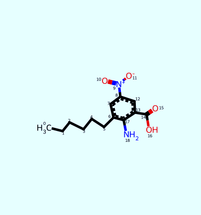 CCCCCCc1cc([N+](=O)[O-])cc(C(=O)O)c1N